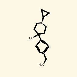 CCc1ccc(C2(C)CCN(C3CC3)CC2)cc1